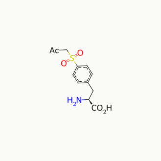 CC(=O)CS(=O)(=O)c1ccc(C[C@H](N)C(=O)O)cc1